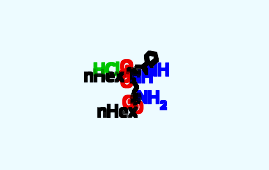 CCCCCCOC(=O)[C@H](N)CCC(=O)N[C@@H](Cc1c[nH]c2ccccc12)C(=O)OCCCCCC.Cl